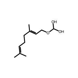 CC(C)=CCCC(C)=CCOC(O)O